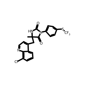 CC1(Cc2ccnc3c(Cl)cccc23)NC(=O)N(c2ccc(SC(F)(F)F)cc2)C1=O